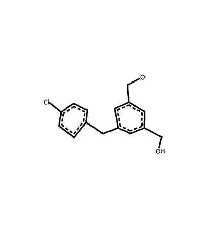 [O]Cc1cc(CO)cc(Cc2ccc(Cl)cc2)c1